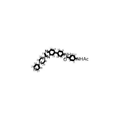 CC(=O)Nc1ccc(C(=O)Nc2ccc(-c3ccc4ncc(N5CCN(c6ccncc6)CC5)nc4c3)cc2)cc1